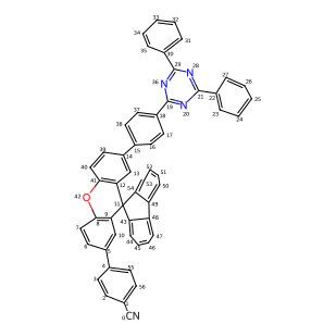 N#Cc1ccc(-c2ccc3c(c2)C2(c4cc(-c5ccc(-c6nc(-c7ccccc7)nc(-c7ccccc7)n6)cc5)ccc4O3)c3ccccc3-c3ccccc32)cc1